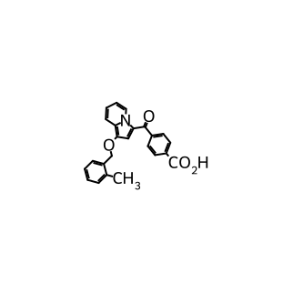 Cc1ccccc1COc1cc(C(=O)c2ccc(C(=O)O)cc2)n2ccccc12